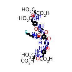 O=C(O)CCC(NC(=O)N[C@@H](Cc1ccc(NC(=O)N2CCN(C(=O)c3cc(NC(=O)Cn4cc(CCCF)nn4)cc(C(=O)N4CCN(C(=O)Nc5ccc(CC(NC(=O)N[C@@H](CCC(=O)O)C(=O)O)C(=O)O)cc5)CC4)c3)CC2)cc1)C(=O)O)C(=O)O